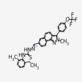 CCc1cccc(C)c1NC(=S)N/N=C/c1ccc2c(ccc3c(-c4ccc(OC(F)(F)F)cc4)n(C)nc32)c1